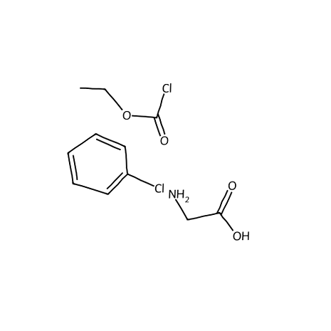 CCOC(=O)Cl.Clc1ccccc1.NCC(=O)O